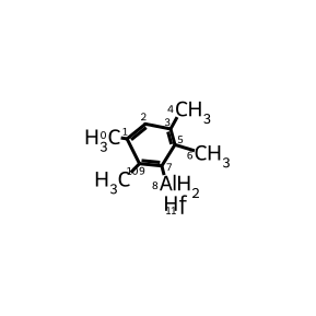 Cc1cc(C)c(C)[c]([AlH2])c1C.[Hf]